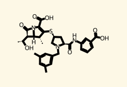 Cc1cc(C)cc(CN2C[C@@H](SC3=C(C(=O)O)N4C(=O)[C@H]([C@@H](C)O)[C@H]4[C@H]3C)C[C@H]2C(=O)Nc2cccc(C(=O)O)c2)c1